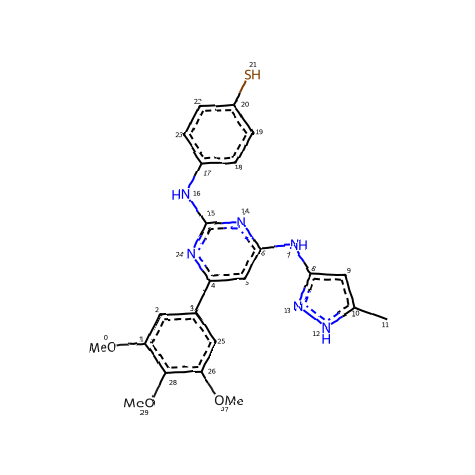 COc1cc(-c2cc(Nc3cc(C)[nH]n3)nc(Nc3ccc(S)cc3)n2)cc(OC)c1OC